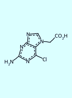 Nc1nc(Cl)c2c(ncn2CC(=O)O)n1